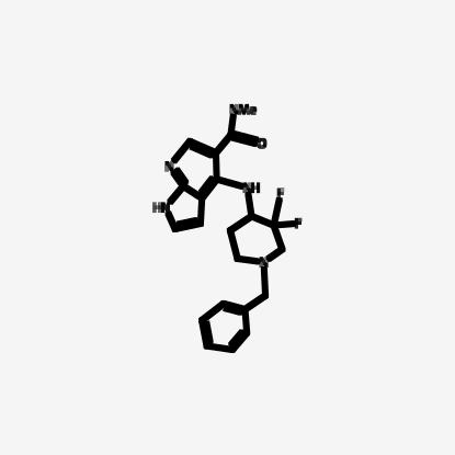 CNC(=O)c1cnc2[nH]ccc2c1NC1CCN(Cc2ccccc2)CC1(F)F